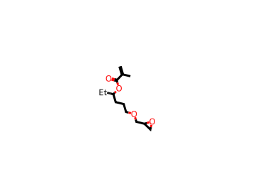 C=C(C)C(=O)OC(CC)CCCOCC1CO1